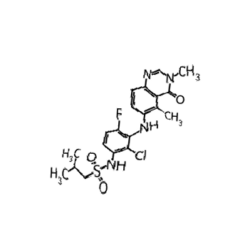 Cc1c(Nc2c(F)ccc(NS(=O)(=O)CC(C)C)c2Cl)ccc2ncn(C)c(=O)c12